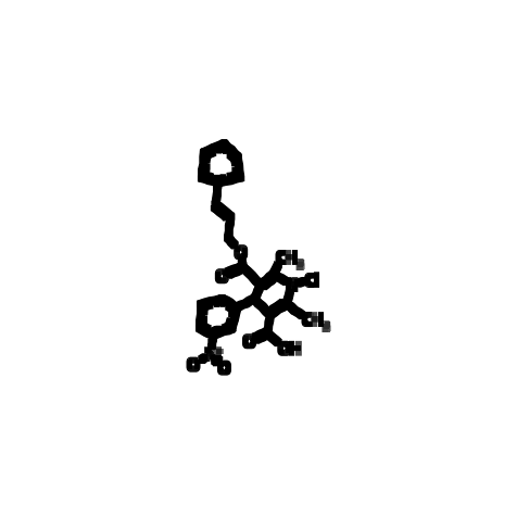 CC1=C(C(=O)O)C(c2cccc([N+](=O)[O-])c2)C(C(=O)OCC=Cc2ccccc2)=C(C)N1Cl